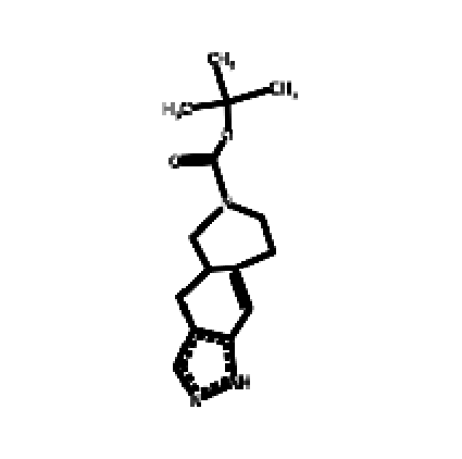 CC(C)(C)OC(=O)N1CCC2=Cc3[nH]ncc3CC2C1